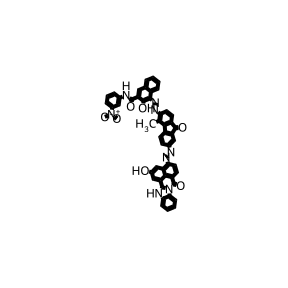 Cc1c(N=Nc2c(O)c(C(=O)Nc3cccc([N+](=O)[O-])c3)cc3ccccc23)ccc2c1-c1ccc(N=Nc3ccc4c5c(cc(O)cc35)C3Nc5ccccc5N3C4=O)cc1C2=O